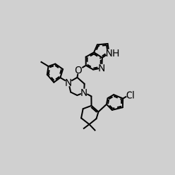 Cc1ccc(N2CCN(CC3=C(c4ccc(Cl)cc4)CC(C)(C)CC3)CC2Oc2cnc3[nH]ccc3c2)cc1